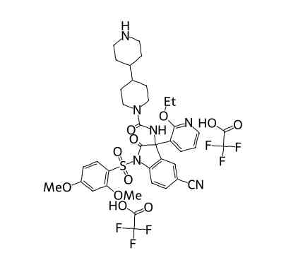 CCOc1ncccc1C1(NC(=O)N2CCC(C3CCNCC3)CC2)C(=O)N(S(=O)(=O)c2ccc(OC)cc2OC)c2ccc(C#N)cc21.O=C(O)C(F)(F)F.O=C(O)C(F)(F)F